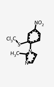 Cc1nccn1-c1ccc([N+](=O)[O-])cc1SC(Cl)(Cl)Cl